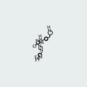 FC(F)(F)c1ccc(CN2CCN(c3c(Cl)cnc4[nH]c(-c5ccc(/C=C6/CCCNCC6)cc5)nc34)CC2)cn1